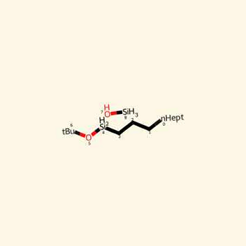 CCCCCCCCCC[SiH2]OC(C)(C)C.O[SiH3]